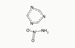 N[N+](=O)[O-].c1ncncn1